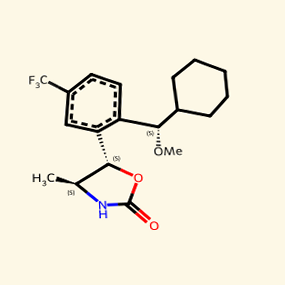 CO[C@H](c1ccc(C(F)(F)F)cc1[C@@H]1OC(=O)N[C@H]1C)C1CCCCC1